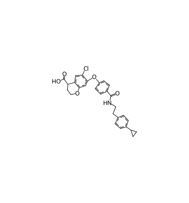 O=C(NCCc1ccc(C2CC2)cc1)c1ccc(Oc2cc3c(cc2Cl)C(C(=O)O)CCO3)cc1